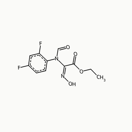 CCOC(=O)C(=NO)N(C=O)c1ccc(F)cc1F